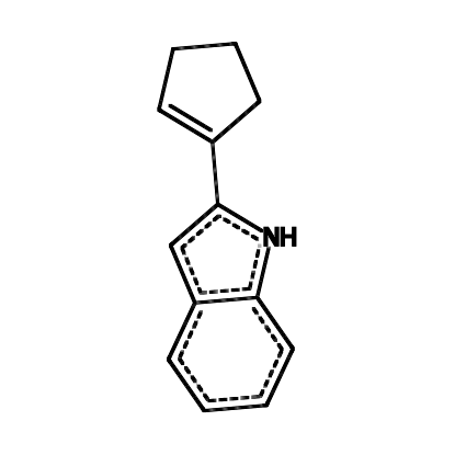 C1=C(c2cc3ccccc3[nH]2)CCC1